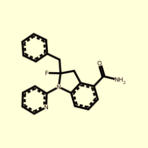 NC(=O)c1cccc2c1CC(F)(Cc1ccccc1)N2c1ccccn1